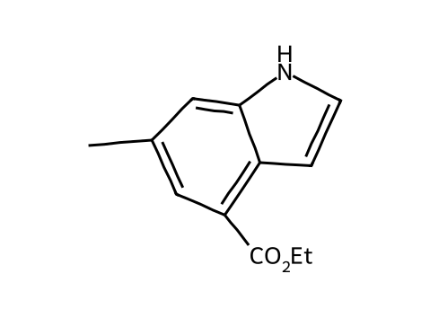 CCOC(=O)c1cc(C)cc2[nH]ccc12